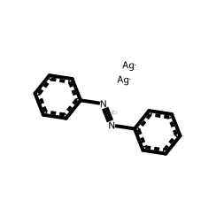 [Ag].[Ag].c1ccc(/N=N/c2ccccc2)cc1